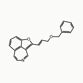 C(=Cc1oc2cccc3c2c1C=NC=C3)COCc1ccccc1